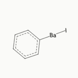 [I][Ba][c]1ccccc1